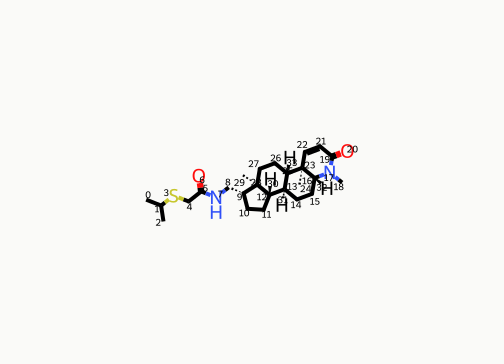 CC(C)SCC(=O)NC[C@H]1CC[C@H]2[C@@H]3CC[C@H]4N(C)C(=O)C=C[C@]4(C)[C@H]3CC[C@]12C